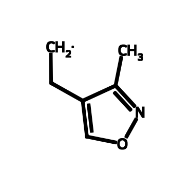 [CH2]Cc1conc1C